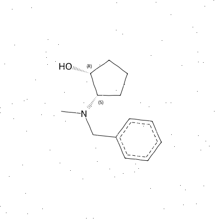 CN(Cc1ccccc1)[C@H]1CCC[C@H]1O